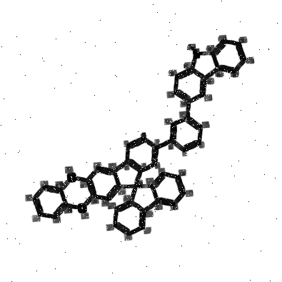 c1cc(-c2ccc3c(c2)C2(c4ccccc4-c4ccccc42)c2cc4c(cc2-3)Oc2ccccc2O4)cc(-c2ccc3sc4ccccc4c3c2)c1